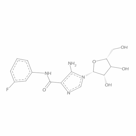 Nc1c(C(=O)Nc2cccc(F)c2)ncn1[C@@H]1O[C@H](CO)C(O)[C@@H]1O